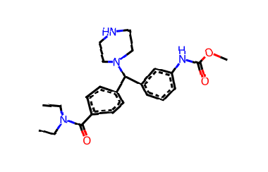 CCN(CC)C(=O)c1ccc(C(c2cccc(NC(=O)OC)c2)N2CCNCC2)cc1